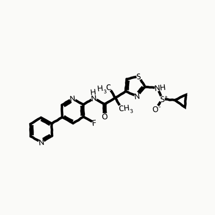 CC(C)(C(=O)Nc1ncc(-c2cccnc2)cc1F)c1csc(N[S+]([O-])C2CC2)n1